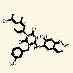 C/C=C1/C=C(Nc2nc(=O)n(C(/C=C(C)\C=C(/C)CC)=C/C)c(=O)n2Cc2cccc(C#N)c2)C(O)=C/C1=N/C(C)C